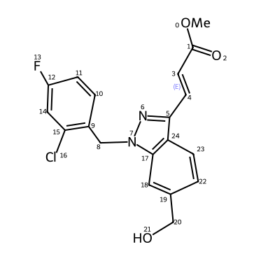 COC(=O)/C=C/c1nn(Cc2ccc(F)cc2Cl)c2cc(CO)ccc12